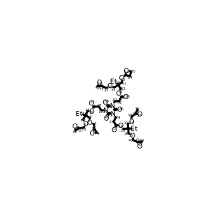 CCC(COCC1CO1)(COCC1CO1)COC(=O)CCn1c(=O)n(CCC(=O)OCC(CC)(COCC2CO2)COCC2CO2)c(=O)n(CCC(=O)OCC(CC)(COCC2CO2)COC2CCO2)c1=O